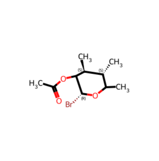 CC(=O)OC1[C@@H](C)[C@H](C)C(C)O[C@@H]1Br